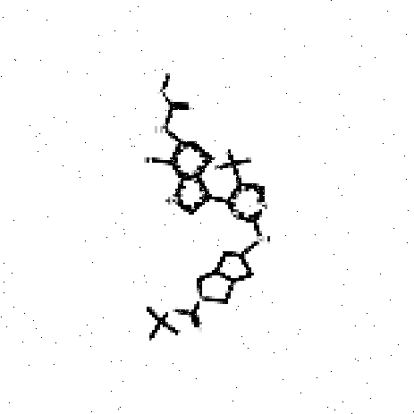 COC(=O)Nc1ccc2c(-c3nc(NC4CC5CN(C(=O)OC(C)(C)C)CC5C4)ncc3C(F)(F)F)c[nH]c2c1Br